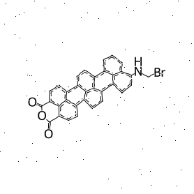 O=C1OC(=O)c2ccc3c4ccc5c6ccc(NCBr)c7cccc(c8ccc(c9ccc1c2c93)c4c85)c76